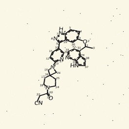 CC(Oc1ccc2[nH]nc(-c3ccc(N4CC5(CCN(C(=O)CC#N)CC5)C4)nc3)c2c1)c1ccnc2[nH]ccc12